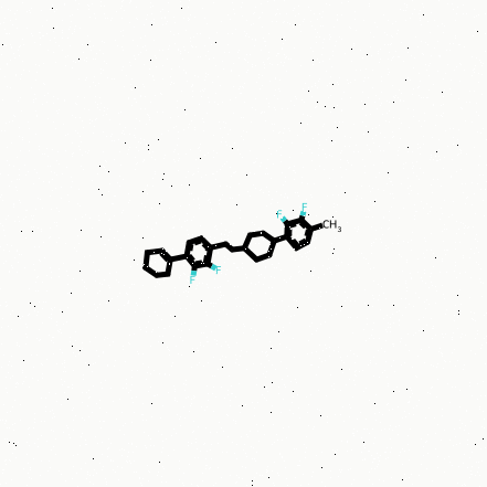 Cc1ccc(C2CCC(CCc3ccc(C4=CCCCC4)c(F)c3F)CC2)c(F)c1F